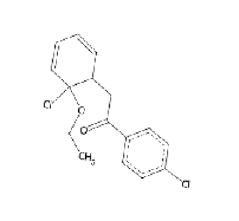 CCOC1(Cl)C=CC=CC1CC(=O)c1ccc(Cl)cc1